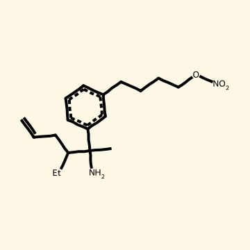 C=CCC(CC)C(C)(N)c1cccc(CCCCO[N+](=O)[O-])c1